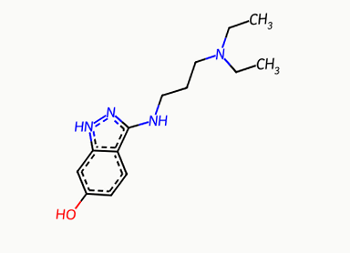 CCN(CC)CCCNc1n[nH]c2cc(O)ccc12